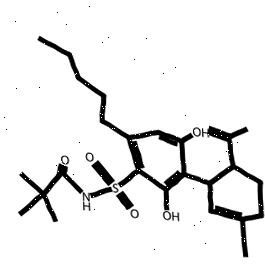 C=C(C)C1CCC(C)=CC1c1c(O)cc(CCCCC)c(S(=O)(=O)NC(=O)C(C)(C)C)c1O